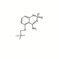 CC(C)(C)COc1ccc[c]2c1C(N)=N[S](=O)(=O)[Na]2